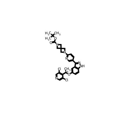 C[C@@H](Oc1ccc2[nH]nc(-c3ccc(N4CC5(CN(C(=O)OC(C)(C)C)C5)C4)nc3)c2c1)c1c(Cl)cncc1Cl